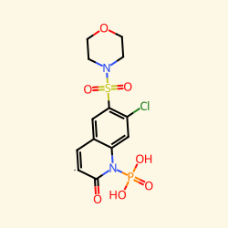 O=c1[c]cc2cc(S(=O)(=O)N3CCOCC3)c(Cl)cc2n1P(=O)(O)O